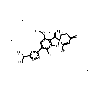 CCOc1cc(-c2nnc([C@H](C)O)o2)c(Cl)c2c1C(=O)[C@@]1(O2)C(O)=CC(=O)C[C@H]1C